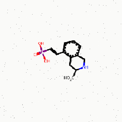 O=C(O)C1Cc2c(C=CP(=O)(O)O)cccc2CN1